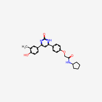 Cc1cc(-c2cc(-c3ccc(OCC(=O)NC4CCCC4)cc3)[nH]c(=O)n2)ccc1O